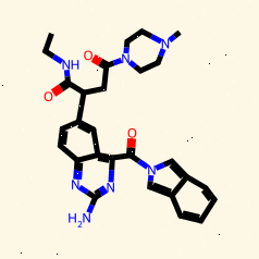 CCNC(=O)C(CC(=O)N1CCN(C)CC1)c1ccc2nc(N)nc(C(=O)n3cc4ccccc4c3)c2c1